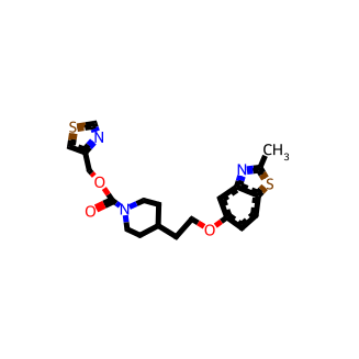 Cc1nc2cc(OCCC3CCN(C(=O)OCc4cscn4)CC3)ccc2s1